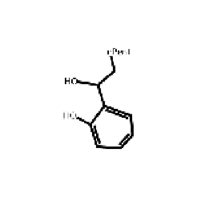 CCCCCCC(O)c1ccccc1O